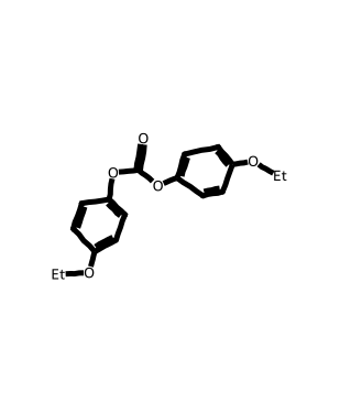 CCOc1ccc(OC(=O)Oc2ccc(OCC)cc2)cc1